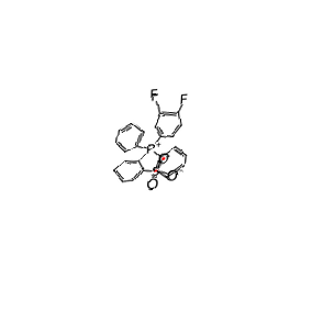 O=S(=O)([O-])c1ccccc1[P+](c1ccccc1)(c1ccccc1)c1ccc(F)c(F)c1